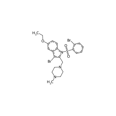 CCOc1ccc2c(c1)c(Br)c(CN1CCN(C)CC1)n2S(=O)(=O)c1ccccc1Br